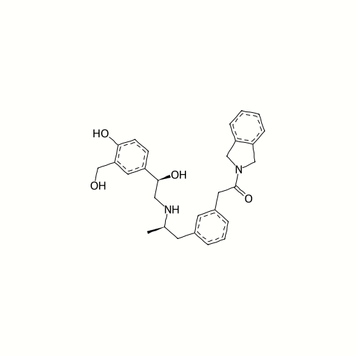 C[C@H](Cc1cccc(CC(=O)N2Cc3ccccc3C2)c1)NC[C@H](O)c1ccc(O)c(CO)c1